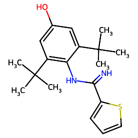 CC(C)(C)c1cc(O)cc(C(C)(C)C)c1NC(=N)c1cccs1